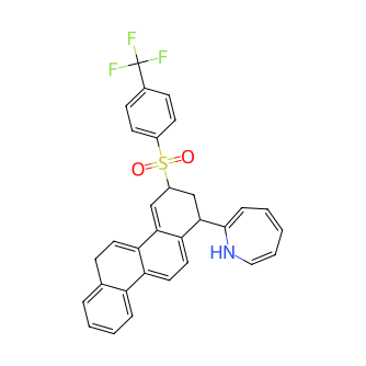 O=S(=O)(c1ccc(C(F)(F)F)cc1)C1C=c2c(ccc3c2=CCc2ccccc2-3)C(C2=CC=CC=CN2)C1